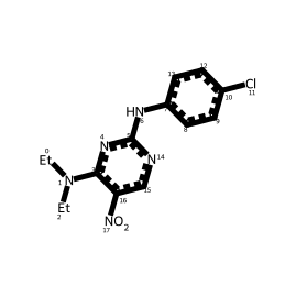 CCN(CC)c1nc(Nc2ccc(Cl)cc2)ncc1[N+](=O)[O-]